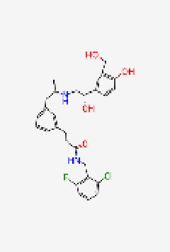 C[C@H](Cc1cccc(CCC(=O)NCc2c(F)cccc2Cl)c1)NC[C@@H](O)c1ccc(O)c(CO)c1